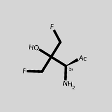 CC(=O)[C@@H](N)C(O)(CF)CF